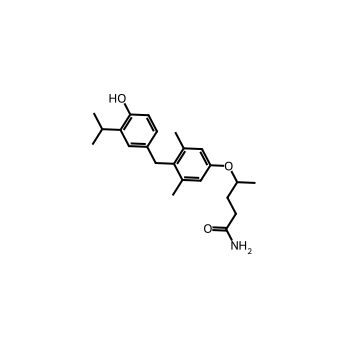 Cc1cc(OC(C)CCC(N)=O)cc(C)c1Cc1ccc(O)c(C(C)C)c1